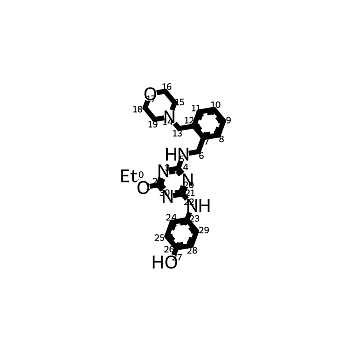 CCOc1nc(NCc2ccccc2CN2CCOCC2)nc(Nc2ccc(O)cc2)n1